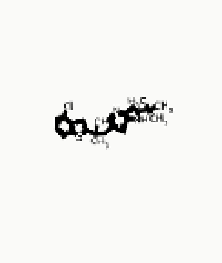 CC(C)(C)c1cc2ncc(CC(C)(C)c3cc4c(Cl)cccc4s3)cc2[nH]1